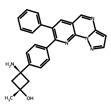 C[C@]1(O)C[C@@](N)(c2ccc(-c3nc4c(cnc5ccnn54)cc3-c3ccccc3)cc2)C1